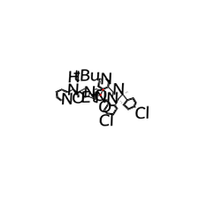 CCOc1cc(C(C)(C)C)ncc1C1=N[C@@](C)(c2ccc(Cl)cc2)[C@@](C)(c2ccc(Cl)cc2)N1C(=O)N1CCN(CC(=O)Nc2ccccn2)CC1